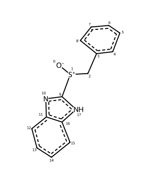 [O-][S+](Cc1ccccc1)c1nc2ccccc2[nH]1